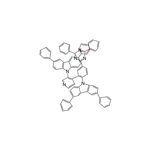 c1ccc(-c2ccc3c(c2)c2cc(-c4ccccc4)ccc2n3-c2ccc(-c3nc(-c4ccccc4)nc(-c4ccccc4)n3)cc2-c2ccncc2-n2c3ccc(-c4ccccc4)cc3c3cc(-c4ccccc4)ccc32)cc1